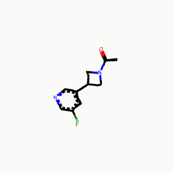 CC(=O)N1CC(c2cncc(F)c2)C1